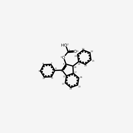 O=C(O)OC1=C(c2ccccc2)c2ccccc2C1c1ccccc1